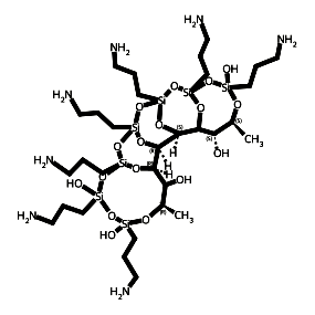 C[C@@H]1O[Si](O)(CCCN)O[Si]2(CCCN)OC([C@H]1O)[C@@H]1O[Si](CCCN)(O2)O[Si]2(CCCN)O[C@@H]1[C@@H]1O[Si](CCCN)(O[Si](O)(CCCN)O[Si](O)(CCCN)O[C@H](C)C1O)O2